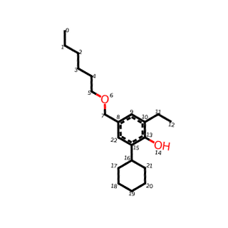 CCCCCCOCc1cc(CC)c(O)c(C2CCCCC2)c1